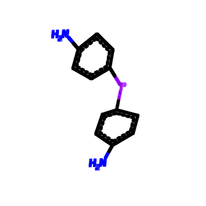 Nc1ccc([I+]c2ccc(N)cc2)cc1